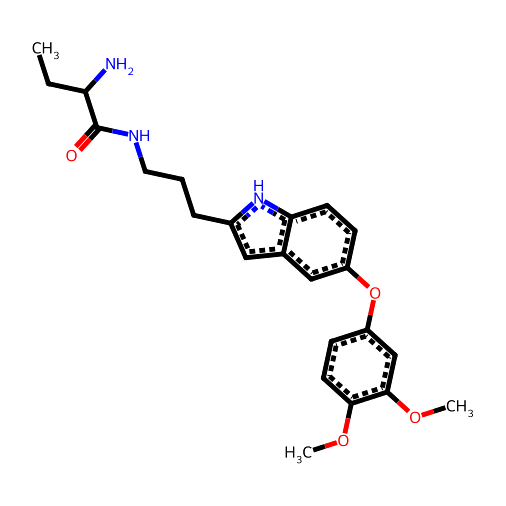 CCC(N)C(=O)NCCCc1cc2cc(Oc3ccc(OC)c(OC)c3)ccc2[nH]1